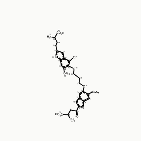 COc1cc2sc(C(=O)CC(C)C(=O)O)cc2cc1OCCCOc1c(OC)cc2sc(CCC(C)C(=O)O)cc2c1Cl